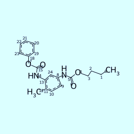 CCCCOC(=O)Nc1ccc(C)c(NC(=O)Oc2ccccc2)c1